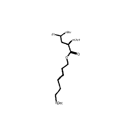 CCCCCCCCCCCCCCCCOC(=O)C(CCCCCCCC)CC(CC)CCCC